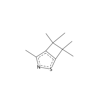 Cc1nsc2c1C(C)(C)C2(C)C